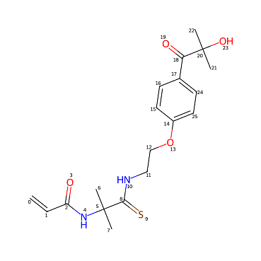 C=CC(=O)NC(C)(C)C(=S)NCCOc1ccc(C(=O)C(C)(C)O)cc1